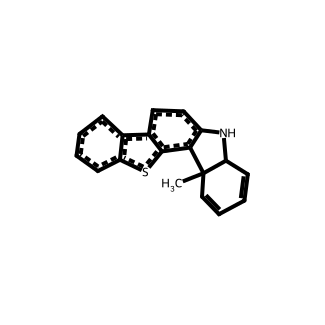 CC12C=CC=CC1Nc1ccc3c(sc4ccccc43)c12